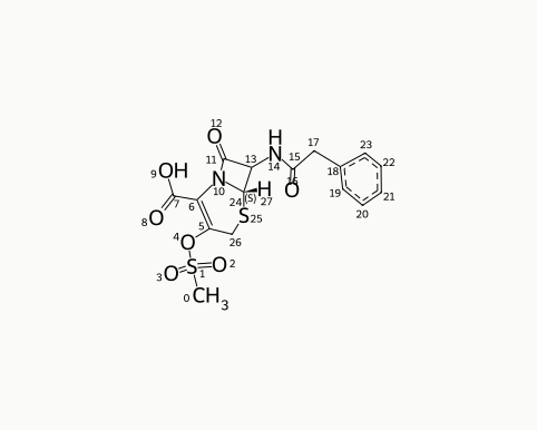 CS(=O)(=O)OC1=C(C(=O)O)N2C(=O)C(NC(=O)Cc3ccccc3)[C@@H]2SC1